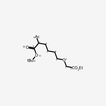 CCOC(=O)COCCCCC(C(C)=O)C(=O)OC(C)(C)C